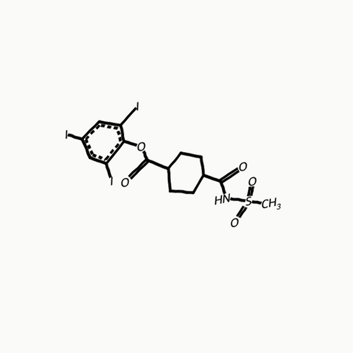 CS(=O)(=O)NC(=O)C1CCC(C(=O)Oc2c(I)cc(I)cc2I)CC1